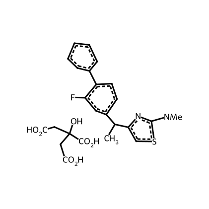 CNc1nc(C(C)c2ccc(-c3ccccc3)c(F)c2)cs1.O=C(O)CC(O)(CC(=O)O)C(=O)O